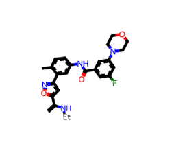 C=C(NCC)c1cc(-c2cc(NC(=O)c3cc(F)cc(N4CCOCC4)c3)ccc2C)no1